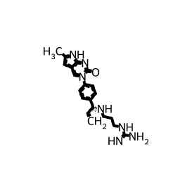 C=C[C@@H](NCCCNC(=N)N)c1ccc(-n2cc3cc(C)[nH]c3nc2=O)cc1